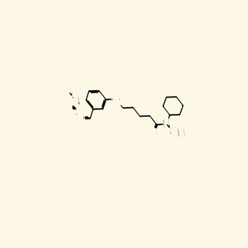 CN(C(=O)CCCCOc1ccc([N+](=O)[O-])c(C=O)c1)C1CCCCC1